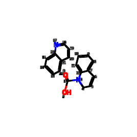 O=C(O)N1CC=Cc2ccccc21.c1ccc2ncccc2c1